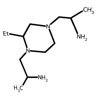 CCC1CN(CC(C)N)CCN1CC(C)N